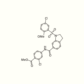 COC(=O)c1ccc(NC(=O)c2ccc3c(c2)N(S(=O)(=O)c2cc(Cl)ccc2OC)CC3)cc1Cl